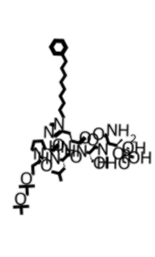 CC(C)C[C@H](NC(=O)[C@@H]1CCCN1C(=O)CCOC(C)(C)COC(C)(C)C)C(=O)N[C@@H](Cc1cncn1CCCCCCCCCc1ccccc1)C(=O)N[C@@H](CO)C(=O)NC(C(N)=O)[C@@H](C)OP(=O)(O)O